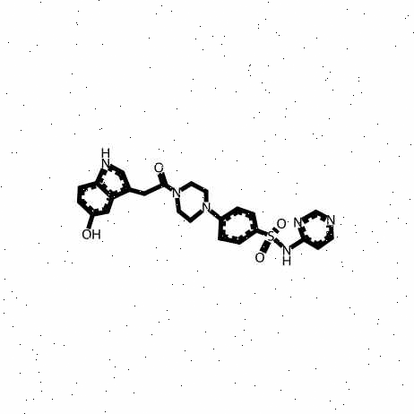 O=C(Cc1c[nH]c2ccc(O)cc12)N1CCN(c2ccc(S(=O)(=O)Nc3ccncn3)cc2)CC1